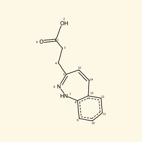 O=C(O)CCC1=NNc2ccccc2C=C1